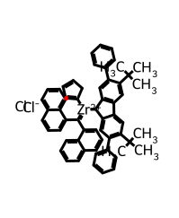 CC(C)(C)c1cc2c(cc1-c1ccccc1)[CH]([Zr+2]([C]1=CC=CC1)=[C](c1cccc3ccccc13)c1cccc3ccccc13)c1cc(-c3ccccc3)c(C(C)(C)C)cc1-2.[Cl-].[Cl-]